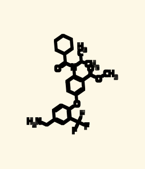 COC(=O)c1cc(Oc2ccc(CN)cc2C(F)(F)F)ccc1N(C(=O)C1CCCCC1)C(C)C